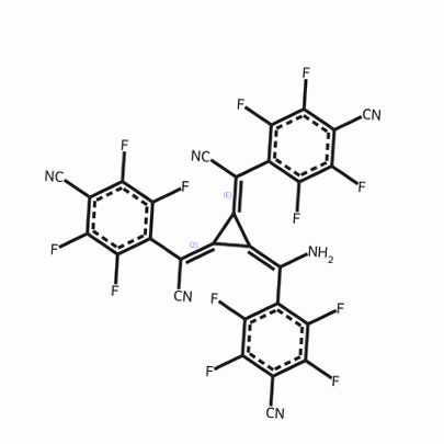 N#C/C(=C1\C(=C(N)c2c(F)c(F)c(C#N)c(F)c2F)\C1=C(\C#N)c1c(F)c(F)c(C#N)c(F)c1F)c1c(F)c(F)c(C#N)c(F)c1F